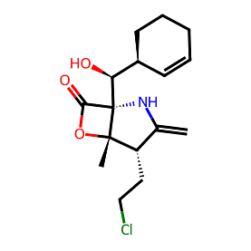 C=C1N[C@@]2([C@@H](O)[C@@H]3C=CCCC3)C(=O)O[C@@]2(C)[C@H]1CCCl